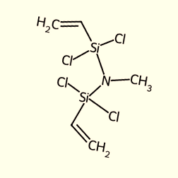 C=C[Si](Cl)(Cl)N(C)[Si](Cl)(Cl)C=C